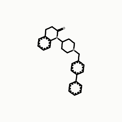 O=C1CCc2ccccc2N1C1CCN(Cc2ccc(-c3ccccc3)cc2)CC1